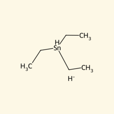 C[CH2][SnH]([CH2]C)[CH2]C.[H-]